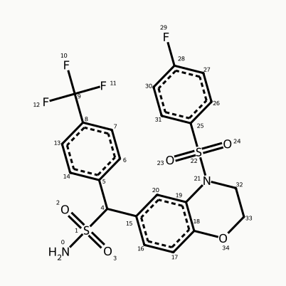 NS(=O)(=O)C(c1ccc(C(F)(F)F)cc1)c1ccc2c(c1)N(S(=O)(=O)c1ccc(F)cc1)CCO2